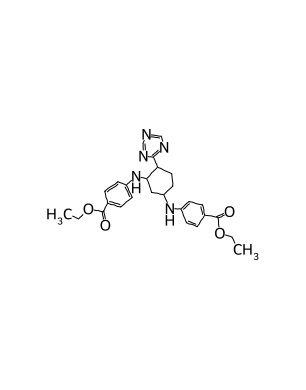 CCOC(=O)c1ccc(NC2CCC(c3ncncn3)C(Nc3ccc(C(=O)OCC)cc3)C2)cc1